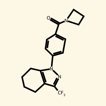 O=C(c1ccc(-n2nc(C(F)(F)F)c3c2CCCC3)cc1)N1CCC1